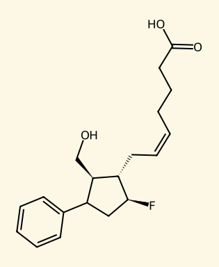 O=C(O)CCC/C=C\C[C@H]1[C@H](CO)C(c2ccccc2)C[C@@H]1F